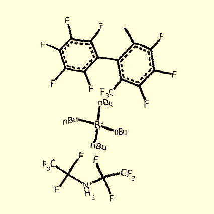 CCCC[B-](CCCC)(CCCC)CCCC.Cc1c(F)c(F)c(F)c(C(F)(F)F)c1-c1c(F)c(F)c(F)c(F)c1F.FC(F)(F)C(F)(F)[NH2+]C(F)(F)C(F)(F)F